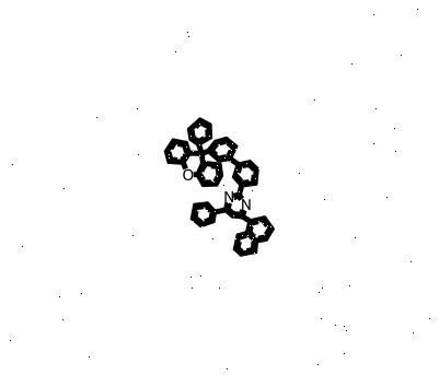 c1ccc(-c2cc(-c3cccc4ccccc34)nc(-c3cccc(-c4cccc(C5(c6ccccc6)c6ccccc6Oc6ccccc65)c4)c3)n2)cc1